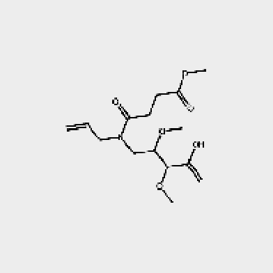 C=CCN(CC(OC)C(OC)C(=C)O)C(=O)CCC(=O)OC